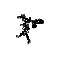 CCCCc1nc2c(NNC(=O)C(CCCNC(=N)N)NC(=O)C(CC(C)C)NC(=O)C3CCCN3C(=O)C(CCCCN)NC(=O)CCCCN=[N+]=[N-])nc3ccccc3c2n1Cc1ccccc1